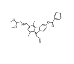 C=CCn1c2ccc(OC(=O)c3ccccc3)cc2c2c(C)c(C=NCC(OC)OC)cc(C)c21